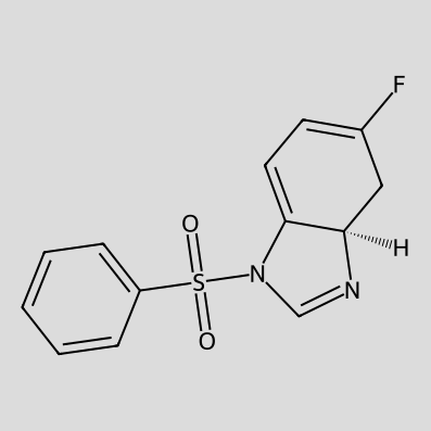 O=S(=O)(c1ccccc1)N1C=N[C@@H]2CC(F)=CC=C21